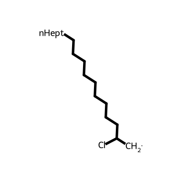 [CH2]C(Cl)CCCCCCCCCCCCCCCC